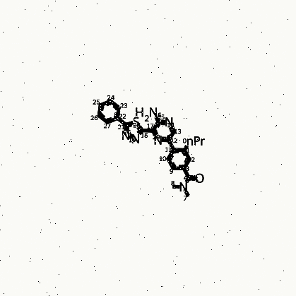 CCCc1cc(C(=O)N(C)C)ccc1-c1cnc(N)c(-c2nnc(-c3ccccc3)s2)n1